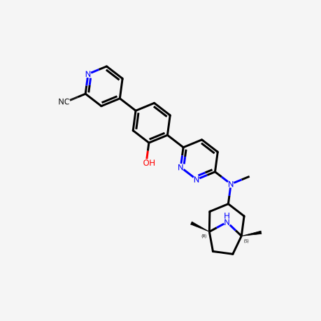 CN(c1ccc(-c2ccc(-c3ccnc(C#N)c3)cc2O)nn1)C1C[C@]2(C)CC[C@](C)(C1)N2